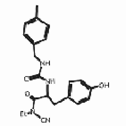 CCN(C#N)C(=O)C(Cc1ccc(O)cc1)NC(=O)NCc1ccc(C)cc1